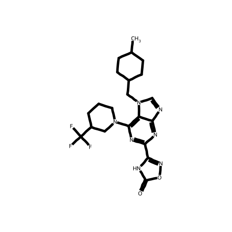 CC1CCC(Cn2cnc3nc(-c4noc(=O)[nH]4)nc(N4CCCC(C(F)(F)F)C4)c32)CC1